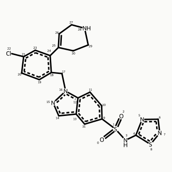 O=S(=O)(Nc1ncns1)c1ccc2c(cnn2Cc2ccc(Cl)cc2C2=CCNCC2)c1